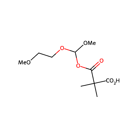 COCCOC(OC)OC(=O)C(C)(C)C(=O)O